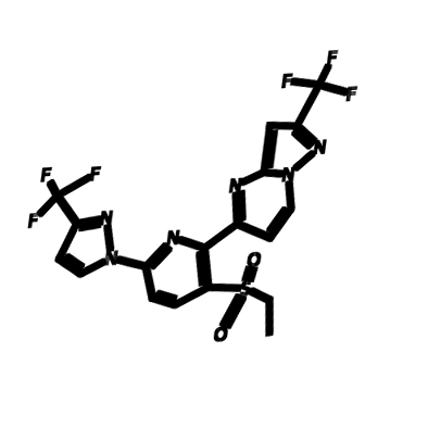 CCS(=O)(=O)c1ccc(-n2ccc(C(F)(F)F)n2)nc1-c1ccn2nc(C(F)(F)F)cc2n1